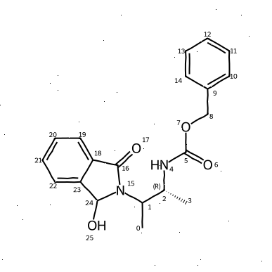 CC([C@@H](C)NC(=O)OCc1ccccc1)N1C(=O)c2ccccc2C1O